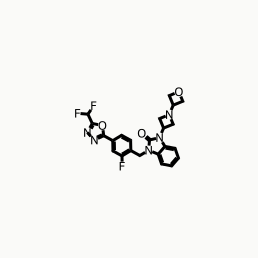 O=c1n(Cc2ccc(-c3nnc(C(F)F)o3)cc2F)c2ccccc2n1C1CN(C2COC2)C1